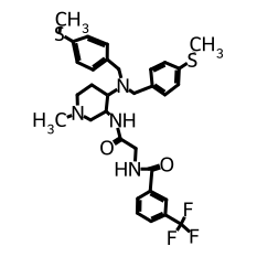 CSc1ccc(CN(Cc2ccc(SC)cc2)C2CCN(C)CC2NC(=O)CNC(=O)c2cccc(C(F)(F)F)c2)cc1